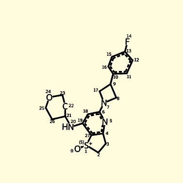 [O-][S@+]1CCc2nc(N3CC(c4ccc(F)cc4)C3)cc(NC3CCOCC3)c21